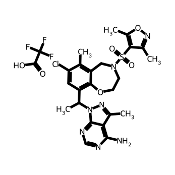 Cc1noc(C)c1S(=O)(=O)N1CCOc2c(C(C)n3nc(C)c4c(N)ncnc43)cc(Cl)c(C)c2C1.O=C(O)C(F)(F)F